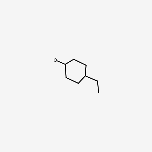 CCC1CCC([O])CC1